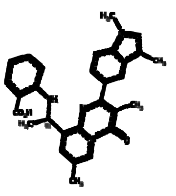 Cc1cc([C@@H](C)Nc2ccccc2C(=O)O)c2nc(-c3ccc4c(c3)c(C)cn4C)c(C)c(=O)n2c1